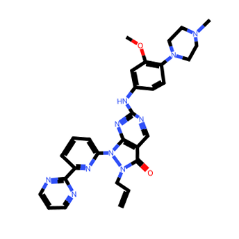 C=CCn1c(=O)c2cnc(Nc3ccc(N4CCN(C)CC4)c(OC)c3)nc2n1-c1cccc(-c2ncccn2)n1